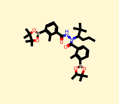 CCCC(N(NC(=O)c1cccc(B2OC(C)(C)C(C)(C)O2)c1C)C(=O)c1cccc(B2OC(C)C(C)(C)O2)c1C)C(C)(C)C